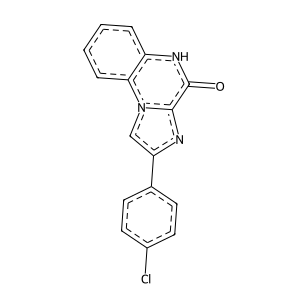 O=c1[nH]c2ccccc2n2cc(-c3ccc(Cl)cc3)nc12